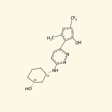 Cc1cc(C(F)(F)F)cc(O)c1-c1ccc(N[C@H]2CCC[C@@H](O)C2)nn1